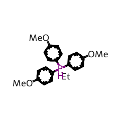 CC[PH](c1ccc(OC)cc1)(c1ccc(OC)cc1)c1ccc(OC)cc1